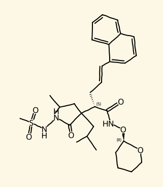 CC(C)CC(CC(C)C)(C(=O)NNS(C)(=O)=O)[C@H](CC=Cc1cccc2ccccc12)C(=O)NO[C@@H]1CCCCO1